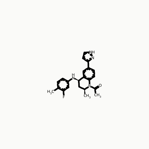 CC(=O)N1c2ccc(-c3cc[nH]n3)cc2[C@H](Nc2ccc(C)c(F)c2)C[C@@H]1C